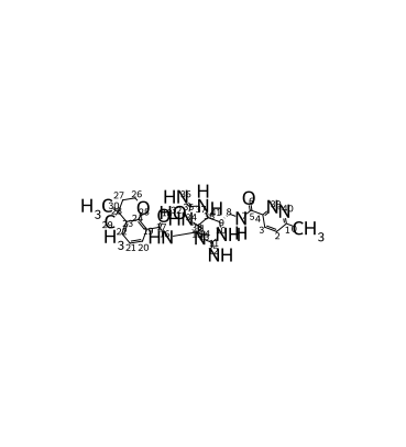 Cc1ccc(C(=O)NC[C@@H]2NC(=N)N3CC(NC(=O)c4cccc5c4OCCC5(C)C)[C@@H](O)C34NC(=N)N[C@@H]24)nn1